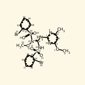 COc1cc(C)nc(NC(NS(=O)(=O)c2ccccc2Br)=[N+](OC)S(=O)(=O)c2ccccc2Br)n1